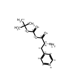 CC(C)(C)OC(=O)OC(=O)[C@H](N)Cc1ccncc1